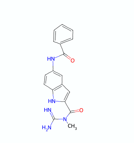 CN(C(=N)N)C(=O)c1cc2cc(NC(=O)c3ccccc3)ccc2[nH]1